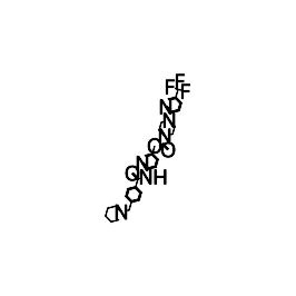 O=C(Nc1ccc(OC(=O)N2CCN(c3ccc(C(F)(F)F)cn3)CC2)cn1)c1ccc(CN2CCCCC2)cc1